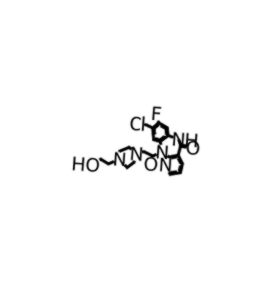 O=C1Nc2cc(F)c(Cl)cc2N(C(=O)CN2CCN(CCO)CC2)c2ncccc21